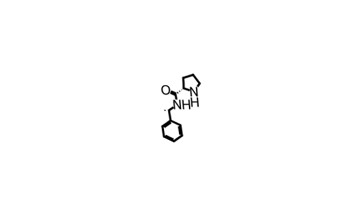 O=C(N[CH]c1ccccc1)[C@@H]1CCCN1